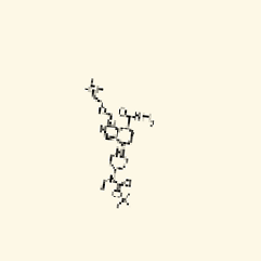 CCN(C(=O)OC(C)(C)C)C1CCN(c2ccc(C(N)=O)c3c2cnn3COCC[Si](C)(C)C)CC1